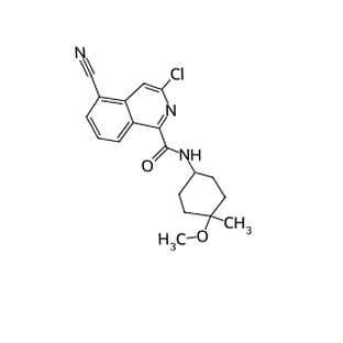 COC1(C)CCC(NC(=O)c2nc(Cl)cc3c(C#N)cccc23)CC1